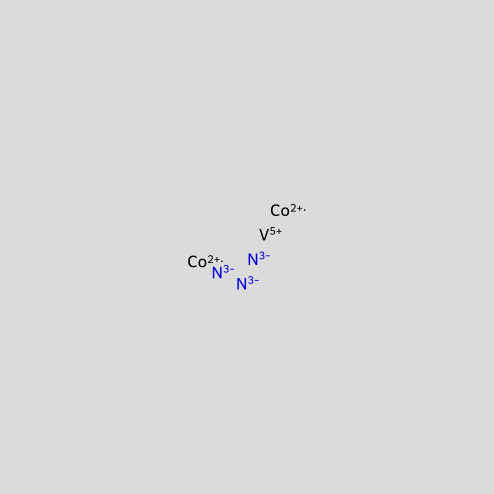 [Co+2].[Co+2].[N-3].[N-3].[N-3].[V+5]